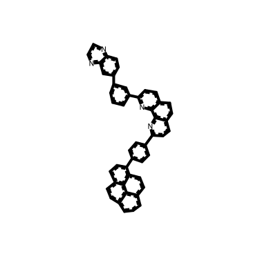 c1cc(-c2ccc3nccnc3c2)cc(-c2ccc3ccc4ccc(-c5ccc(-c6ccc7ccc8cccc9ccc6c7c89)cc5)nc4c3n2)c1